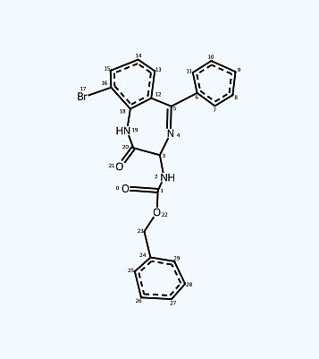 O=C(NC1N=C(c2ccccc2)c2cccc(Br)c2NC1=O)OCc1ccccc1